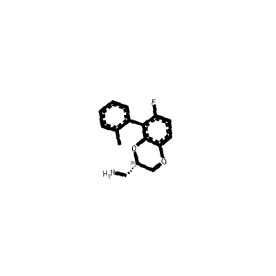 Cc1ccccc1-c1c(F)ccc2c1O[C@@H](CN)CO2